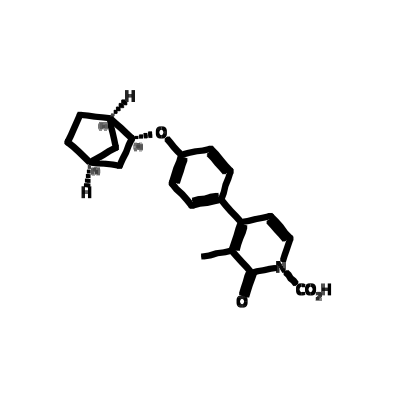 Cc1c(-c2ccc(O[C@@H]3C[C@H]4CC[C@@H]3C4)cc2)ccn(C(=O)O)c1=O